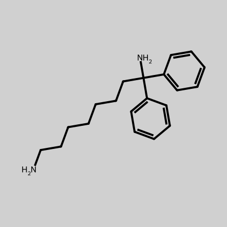 NCCCCCCCC(N)(c1ccccc1)c1ccccc1